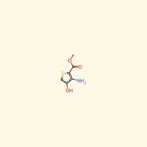 COC(=O)c1scc(O)c1N